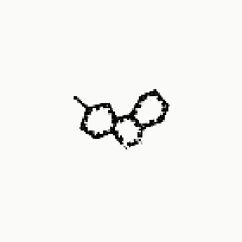 Cc1ccc2nnc3ccccc3c2c1